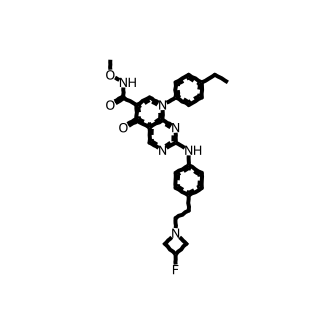 CCc1ccc(-n2cc(C(=O)NOC)c(=O)c3cnc(Nc4ccc(CCN5CC(F)C5)cc4)nc32)cc1